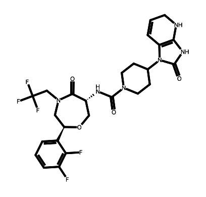 O=C(N[C@@H]1CO[C@@H](c2cccc(F)c2F)CN(CC(F)(F)F)C1=O)N1CCC(n2c3c([nH]c2=O)NCC=C3)CC1